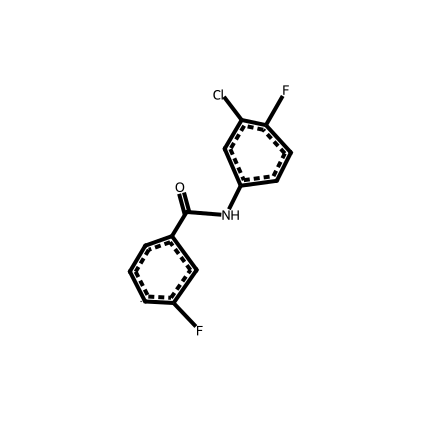 O=C(Nc1ccc(F)c(Cl)c1)c1cc[c]c(F)c1